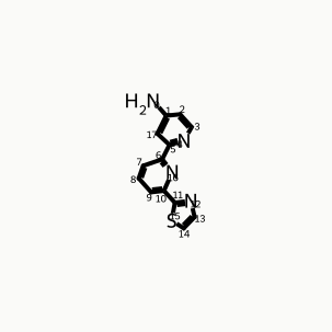 Nc1ccnc(-c2cccc(-c3nccs3)n2)c1